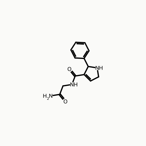 NC(=O)CNC(=O)C1=CCNC1c1ccccc1